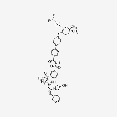 C[C@H](C[C@H](Sc1ccccc1)N1CC(O)C1)Nc1ccc(S(=O)(=O)NC(=O)c2ccc(N3CCN(CC4=C(C56CC(C(F)F)(C5)C6)CC(C)(C)CC4)CC3)cc2)cc1S(=O)(=O)C(F)(F)F